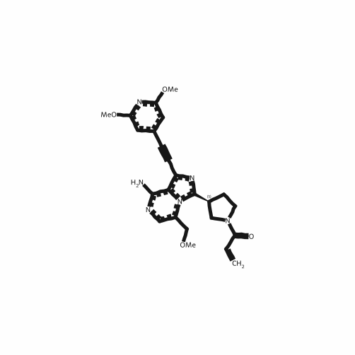 C=CC(=O)N1CC[C@H](c2nc(C#Cc3cc(OC)nc(OC)c3)c3c(N)ncc(COC)n23)C1